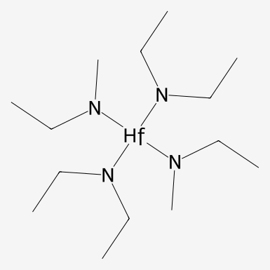 CC[N](C)[Hf]([N](C)CC)([N](CC)CC)[N](CC)CC